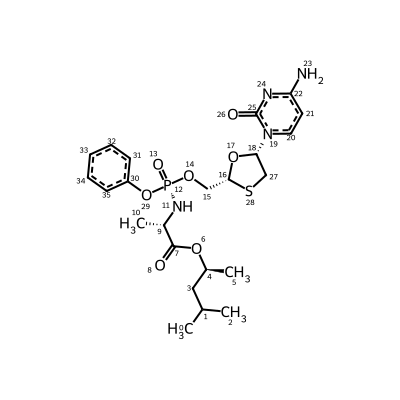 CC(C)C[C@H](C)OC(=O)[C@H](C)N[P@](=O)(OC[C@@H]1O[C@H](n2ccc(N)nc2=O)CS1)Oc1ccccc1